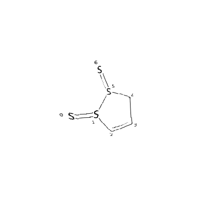 S=S1C=CCS1=S